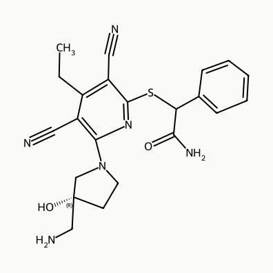 CCc1c(C#N)c(SC(C(N)=O)c2ccccc2)nc(N2CC[C@@](O)(CN)C2)c1C#N